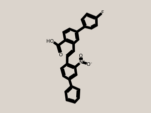 O=C(O)c1ccc(-c2ccc(F)cc2)cc1C=Cc1ccc(-c2ccccc2)cc1[N+](=O)[O-]